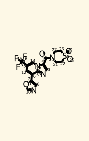 O=C(c1cnc2c(-c3cnco3)cc(C(F)(F)F)cn12)N1CCS(=O)(=O)CC1